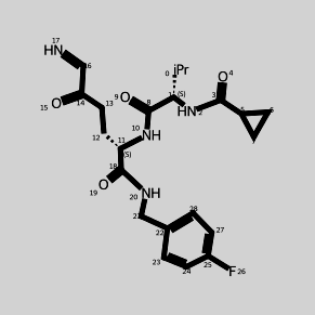 CC(C)[C@H](NC(=O)C1CC1)C(=O)N[C@@H](CCC(=O)C=N)C(=O)NCc1ccc(F)cc1